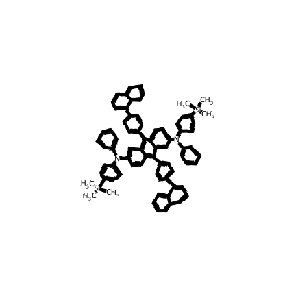 C[Si](C)(C)c1ccc(N(c2ccccc2)c2ccc3c(-c4ccc(-c5cccc6ccccc56)cc4)c4cc(N(c5ccccc5)c5ccc([Si](C)(C)C)cc5)ccc4c(-c4ccc(-c5cccc6ccccc56)cc4)c3c2)cc1